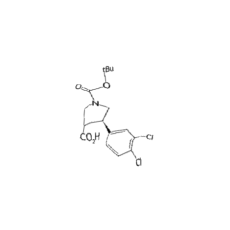 CC(C)(C)OC(=O)N1CC(C(=O)O)[C@H](c2ccc(Cl)c(Cl)c2)C1